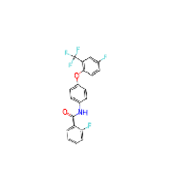 O=C(Nc1ccc(Oc2ccc(F)cc2C(F)(F)F)cc1)c1ccccc1F